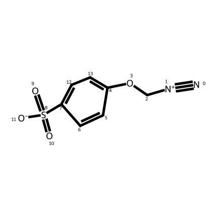 N#[N+]COc1ccc(S(=O)(=O)[O-])cc1